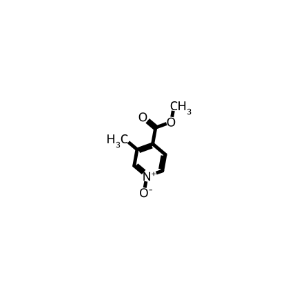 COC(=O)c1cc[n+]([O-])cc1C